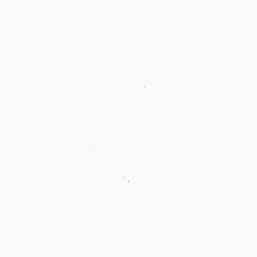 Cc1cc([N+](=O)[O-])c([N+](=O)[O-])c(F)c1N(F)F